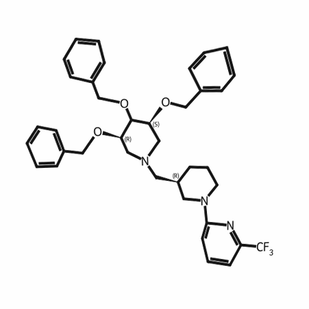 FC(F)(F)c1cccc(N2CCC[C@H](CN3C[C@H](OCc4ccccc4)C(OCc4ccccc4)[C@H](OCc4ccccc4)C3)C2)n1